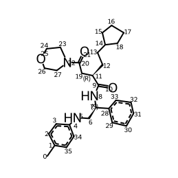 Cc1ccc(NC[C@@H](NC(=O)[C@H](CCC2CCCC2)CC(=O)N2CCOCC2)c2ccccc2)cc1